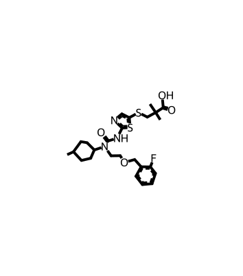 CC1CCC(N(CCOCc2ccccc2F)C(=O)Nc2ncc(SCC(C)(C)C(=O)O)s2)CC1